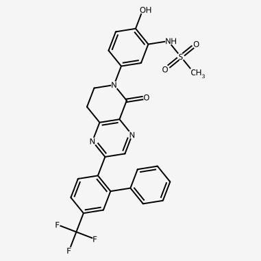 CS(=O)(=O)Nc1cc(N2CCc3nc(-c4ccc(C(F)(F)F)cc4-c4ccccc4)cnc3C2=O)ccc1O